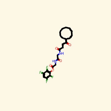 O=C(CCC(=O)C1CCCCCCCCC1)NCC(=O)NCC(=O)Oc1c(F)c(F)cc(F)c1F